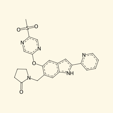 CS(=O)(=O)c1cnc(Oc2cc3cc(-c4ccccn4)[nH]c3cc2CN2CCCC2=O)cn1